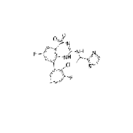 CC(NC1=NS(=O)(=O)c2cc(F)cc(-c3cccc(F)c3Cl)c2N1)c1nccs1